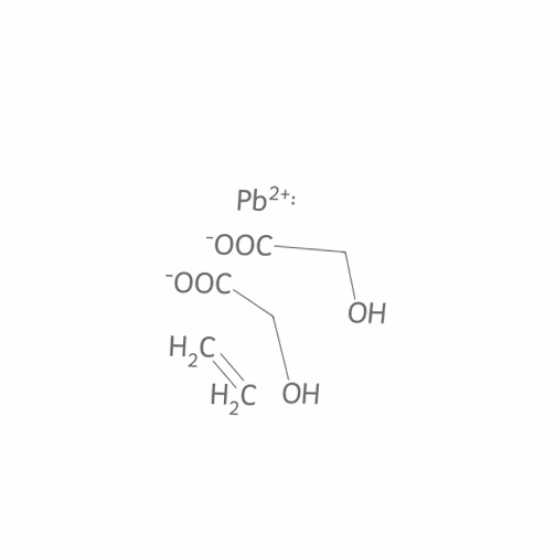 C=C.O=C([O-])CO.O=C([O-])CO.[Pb+2]